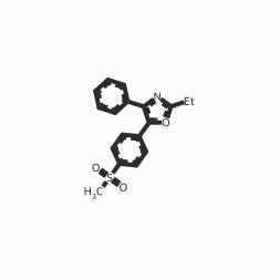 CCc1nc(-c2ccccc2)c(-c2ccc(S(C)(=O)=O)cc2)o1